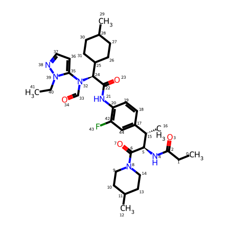 CCC(=O)N[C@@H](C(=O)N1CCC(C)CC1)[C@@H](C)c1ccc(NC(=O)[C@H](C2CCC(C)CC2)N(C=O)c2ccnn2CC)c(F)c1